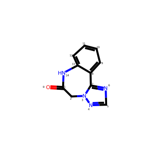 O=C1Cn2ncnc2-c2ccccc2N1